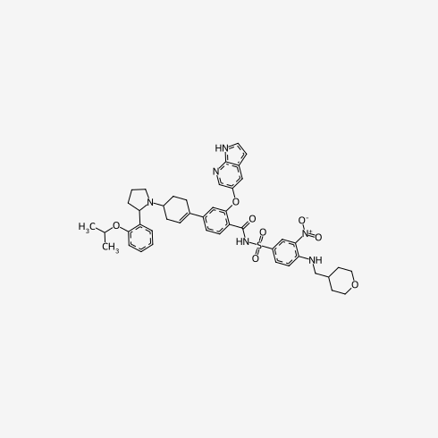 CC(C)Oc1ccccc1C1CCCN1C1CC=C(c2ccc(C(=O)NS(=O)(=O)c3ccc(NCC4CCOCC4)c([N+](=O)[O-])c3)c(Oc3cnc4[nH]ccc4c3)c2)CC1